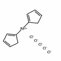 C1=CC[C]([Re+5][C]2=CC=CC2)=C1.[Cl-].[Cl-].[Cl-].[Cl-].[Cl-]